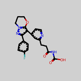 O=C(O)NC(=O)CCc1cc(-c2c(-c3ccc(F)cc3)nn3c2OCCC3)ccn1